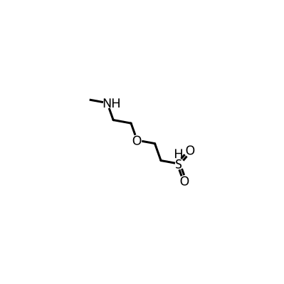 CNCCOCC[SH](=O)=O